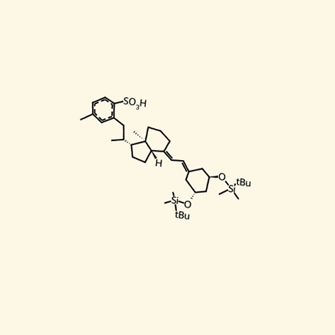 Cc1ccc(S(=O)(=O)O)c(CC(C)[C@H]2CC[C@H]3/C(=C/C=C4C[C@@H](O[Si](C)(C)C(C)(C)C)C[C@H](O[Si](C)(C)C(C)(C)C)C4)CCC[C@]23C)c1